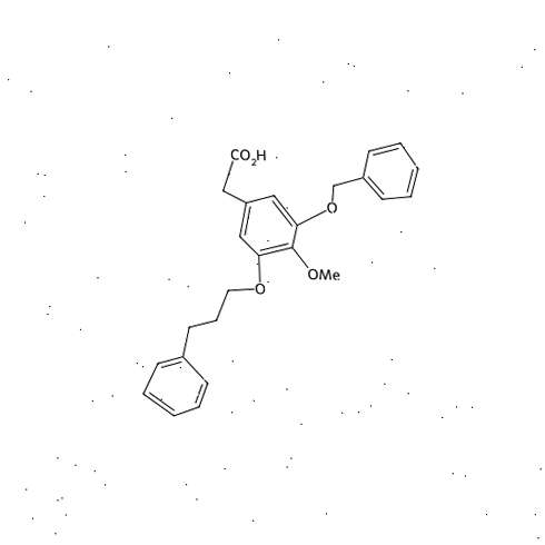 COc1c(OCCCc2ccccc2)cc(CC(=O)O)cc1OCc1ccccc1